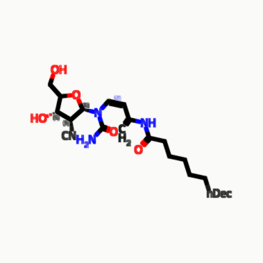 C=C(/C=C\N(C(N)=O)[C@@H]1OC(CO)[C@@H](O)[C@@H]1C#N)NC(=O)CCCCCCCCCCCCCCC